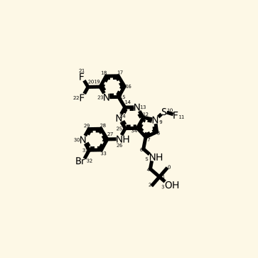 CC(C)(O)CNCc1cn(SF)c2nc(-c3cccc(C(F)F)n3)nc(Nc3ccnc(Br)c3)c12